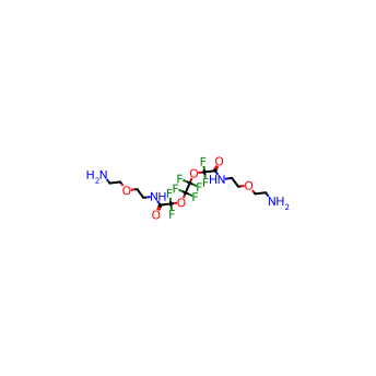 NCCOCCNC(=O)C(F)(F)OC(F)(F)C(F)(F)OC(F)(F)C(=O)NCCOCCN